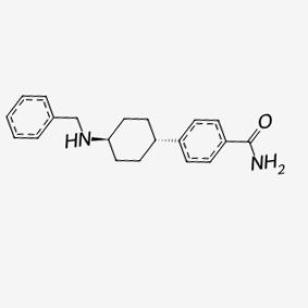 NC(=O)c1ccc([C@H]2CC[C@H](NCc3ccccc3)CC2)cc1